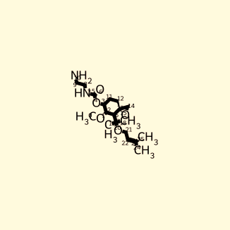 COC1C(OC(=O)NCCN)CC[C@]2(CO2)C1C(C)(C)OCC=C(C)C